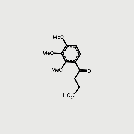 COc1ccc(C(=O)CCC(=O)O)c(OC)c1OC